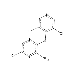 Nc1nc(Cl)cnc1Sc1c(Cl)cncc1Cl